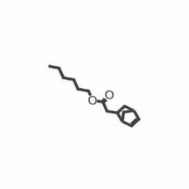 CCCCCCOC(=O)CC1CC2C=CC1C2